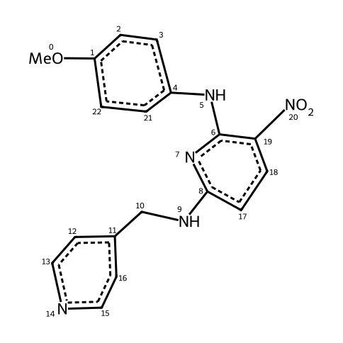 COc1ccc(Nc2nc(NCc3ccncc3)ccc2[N+](=O)[O-])cc1